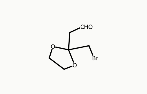 O=CCC1(CBr)OCCO1